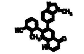 Cc1c(C#N)cccc1-c1nc2[nH]ccc(=O)c2cc1-c1ccc2ncn(C)c2c1